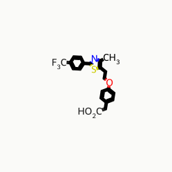 Cc1nc(-c2ccc(C(F)(F)F)cc2)sc1CCOc1ccc(CC(=O)O)cc1